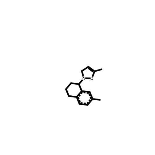 CC1=CCN(C2CCCc3ccc(C)cc32)O1